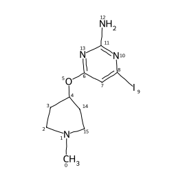 CN1CCC(Oc2cc(I)nc(N)n2)CC1